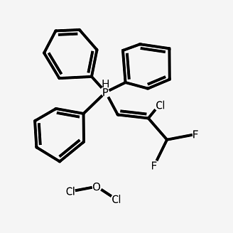 ClOCl.FC(F)C(Cl)=C[PH](c1ccccc1)(c1ccccc1)c1ccccc1